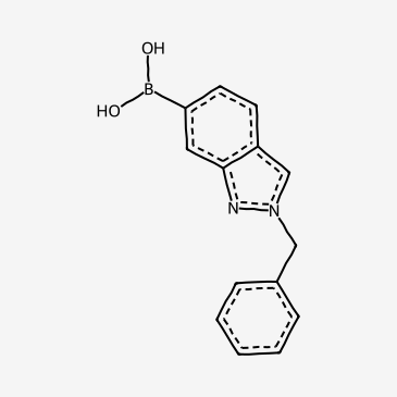 OB(O)c1ccc2cn(Cc3ccccc3)nc2c1